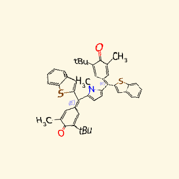 CC1=C/C(=C(\c2cc3ccccc3s2)c2ccc(/C(=C3/C=C(C)C(=O)C(C(C)(C)C)=C3)c3cc4ccccc4s3)n2C)C=C(C(C)(C)C)C1=O